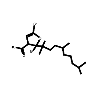 CC(C)CCCC(C)CCC(C)(C)C1(Br)SC(Br)=CC1C(=O)O